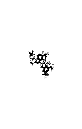 CC[C@@H]1C[C@H](N(Cc2cc(C(F)(F)F)cc(C(F)(F)F)c2)C(=O)OC)c2cc(C(F)(F)F)ccc2N1C(=O)OC(C)(C)C